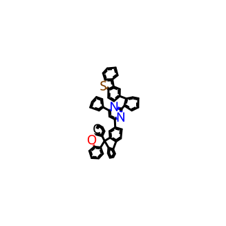 c1ccc(-c2cc(-c3ccc4c(c3)C3(c5ccccc5Oc5ccccc53)c3ccccc3-4)nc(-c3ccccc3-c3ccc4sc5ccccc5c4c3)n2)cc1